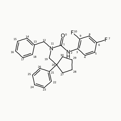 O=C(Nc1ccc(F)cc1F)N(Cc1ccccc1)CC1(c2ccccc2)CCCC1